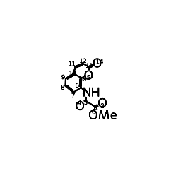 COC(=O)C(=O)Nc1cccc2ccc(=O)oc12